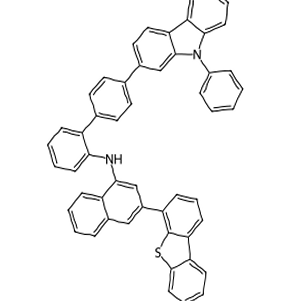 c1ccc(-n2c3ccccc3c3ccc(-c4ccc(-c5ccccc5Nc5cc(-c6cccc7c6sc6ccccc67)cc6ccccc56)cc4)cc32)cc1